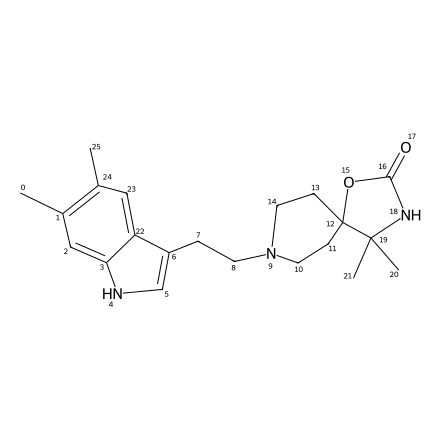 Cc1cc2[nH]cc(CCN3CCC4(CC3)OC(=O)NC4(C)C)c2cc1C